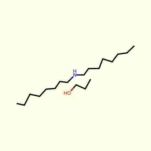 CCCCCCCCNCCCCCCCC.CCCO